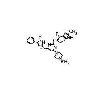 Cc1cc2c(F)c(Oc3nc(Nc4cc(-c5ccccc5)[nH]n4)cc(N4CCN(C)CC4)n3)ccc2[nH]1